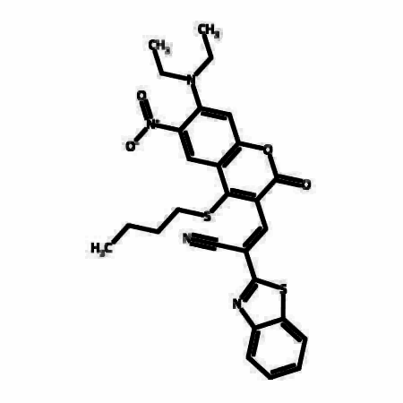 CCCCSc1c(C=C(C#N)c2nc3ccccc3s2)c(=O)oc2cc(N(CC)CC)c([N+](=O)[O-])cc12